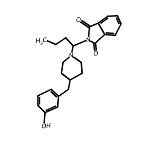 CCCC(N1CCC(Cc2cccc(O)c2)CC1)N1C(=O)c2ccccc2C1=O